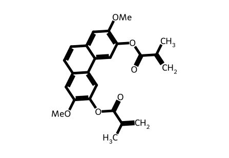 C=C(C)C(=O)Oc1cc2c(ccc3cc(OC)c(OC(=O)C(=C)C)cc32)cc1OC